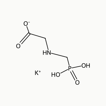 O=C([O-])CNCP(=O)(O)O.[K+]